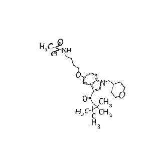 CC1(C)C(C(=O)c2cn(CC3CCOCC3)c3ccc(OCCCCNS(C)(=O)=O)cc23)C1(C)C